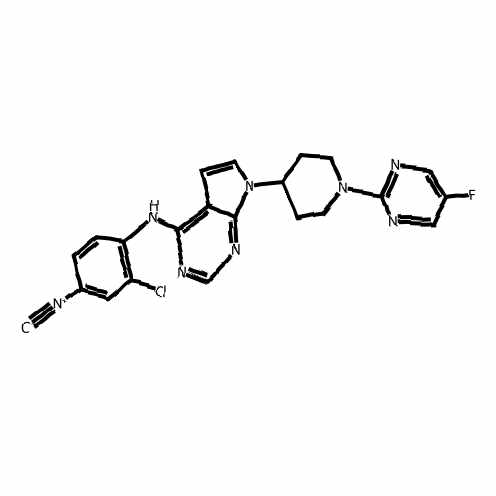 [C-]#[N+]c1ccc(Nc2ncnc3c2ccn3C2CCN(c3ncc(F)cn3)CC2)c(Cl)c1